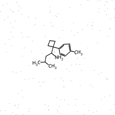 Cc1ccc(C2(C(N)CC(C)C)CCC2)cc1